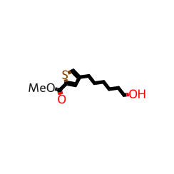 COC(=O)c1cc(CCCCCCO)cs1